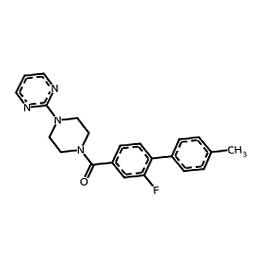 Cc1ccc(-c2ccc(C(=O)N3CCN(c4ncccn4)CC3)cc2F)cc1